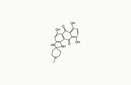 CN1CCC2(CC1)Nc1cc(O)c3c(c1N2)C(=O)c1c(O)ccc(O)c1C3=O